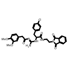 COc1ccc(CC(=O)N=C(N)NC(Cc2ccc(Cl)cc2)C(=O)NCCN2C(=O)c3ccccc3C2=O)cc1OC